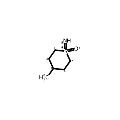 CC1CCS(=N)(=O)CC1